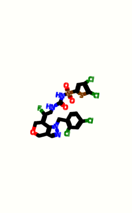 O=C(NC/C(F)=C1/COCc2cnn(Cc3ccc(Cl)cc3Cl)c21)NS(=O)(=O)c1cc(Cl)c(Cl)s1